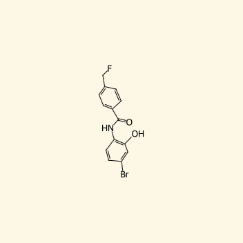 O=C(Nc1ccc(Br)cc1O)c1ccc(CF)cc1